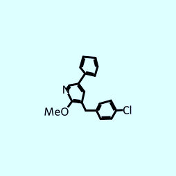 COc1ncc(-c2ccccc2)cc1Cc1ccc(Cl)cc1